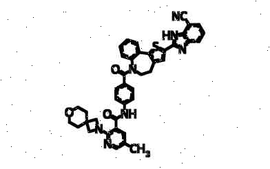 Cc1cnc(N2CC3(CCOCC3)C2)c(C(=O)Nc2ccc(C(=O)N3CCc4cc(-c5nc6cccc(C#N)c6[nH]5)sc4-c4ccccc43)cc2)c1